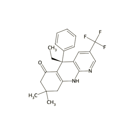 CC[C@]1(c2ccccc2)C2=C(CC(C)(C)CC2=O)Nc2ncc(C(F)(F)F)cc21